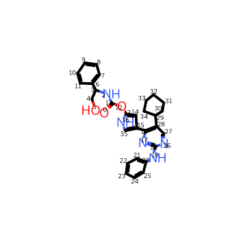 O=C(NC(CO)c1ccccc1)Oc1cc(-c2nc(Nc3ccccc3)ncc2C2CCCCC2)c[nH]1